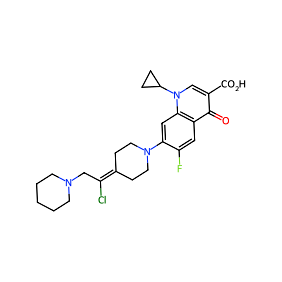 O=C(O)c1cn(C2CC2)c2cc(N3CCC(=C(Cl)CN4CCCCC4)CC3)c(F)cc2c1=O